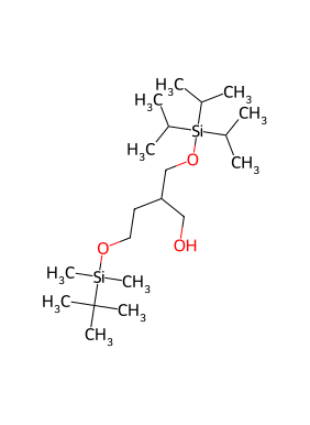 CC(C)[Si](OCC(CO)CCO[Si](C)(C)C(C)(C)C)(C(C)C)C(C)C